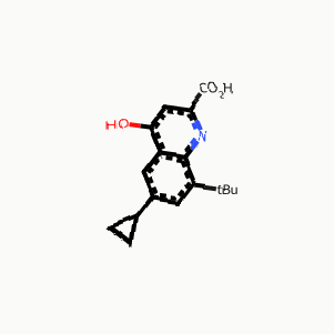 CC(C)(C)c1cc(C2CC2)cc2c(O)cc(C(=O)O)nc12